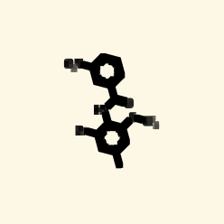 Cc1cc(Br)c(NC(=O)c2cccc([N+](=O)[O-])c2)c(SC(F)(F)F)c1